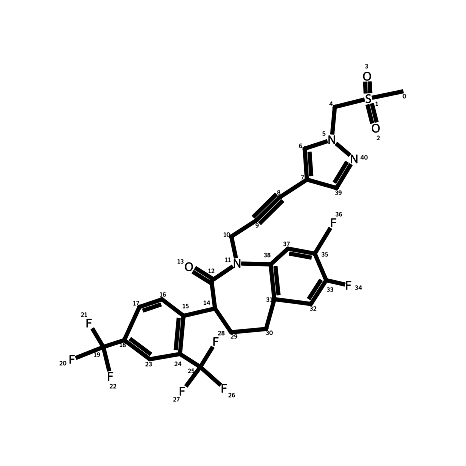 CS(=O)(=O)Cn1cc(C#CCN2C(=O)C(c3ccc(C(F)(F)F)cc3C(F)(F)F)CCc3cc(F)c(F)cc32)cn1